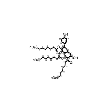 CCCCCCCCCCCCCCCCC(=O)Oc1c(-c2ccc(O)cc2)oc2cc(O)c(C(=O)CCCCCCCCCCCCCCCC)c(OC(=O)CCCCCCCCCCCCCCCC)c2c1=O